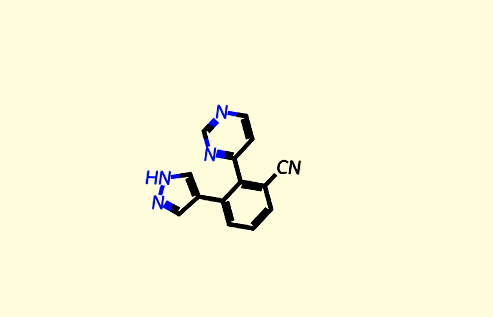 N#Cc1cccc(-c2cn[nH]c2)c1-c1ccncn1